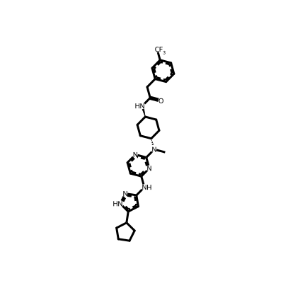 CN(c1nccc(Nc2cc(C3CCCC3)[nH]n2)n1)[C@H]1CC[C@H](NC(=O)Cc2cccc(C(F)(F)F)c2)CC1